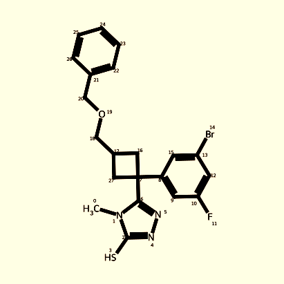 Cn1c(S)nnc1C1(c2cc(F)cc(Br)c2)CC(COCc2ccccc2)C1